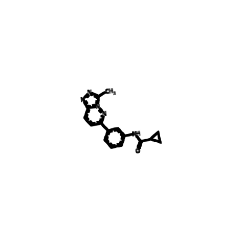 Cc1nnc2ccc(-c3cccc(NC(=O)C4CC4)c3)nn12